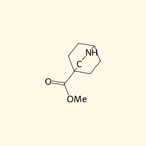 COC(=O)C12CCC(CC1)NC2